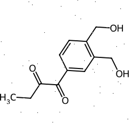 CCC(=O)C(=O)c1ccc(CO)c(CO)c1